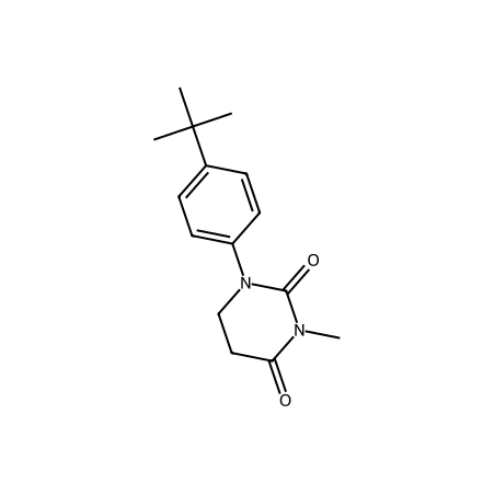 CN1C(=O)CCN(c2ccc(C(C)(C)C)cc2)C1=O